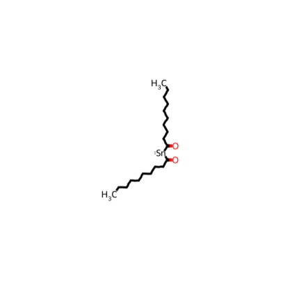 CCCCCCCCC[C](=O)[Sn][C](=O)CCCCCCCCC